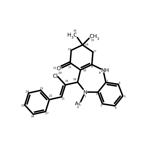 CC(=O)N1c2ccccc2NC2=C(C(=O)CC(C)(C)C2)C1C(Cl)=Cc1ccccc1